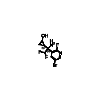 N[C@@](c1cc(Br)cnc1F)(C(F)F)[C@H]1CC1O